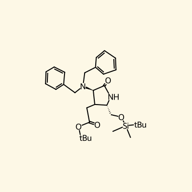 CC(C)(C)OC(=O)CC1[C@@H](CO[Si](C)(C)C(C)(C)C)NC(=O)[C@@H]1N(Cc1ccccc1)Cc1ccccc1